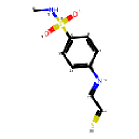 CNS(=O)(=O)c1ccc(N=CC=S)cc1